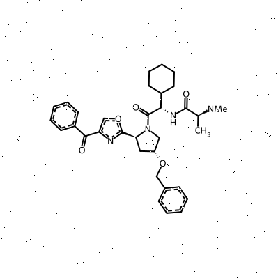 CN[C@@H](C)C(=O)N[C@H](C(=O)N1C[C@H](OCc2ccccc2)C[C@H]1c1nc(C(=O)c2ccccc2)co1)C1CCCCC1